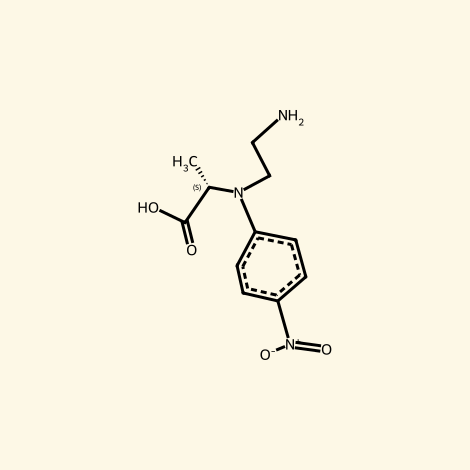 C[C@@H](C(=O)O)N(CCN)c1ccc([N+](=O)[O-])cc1